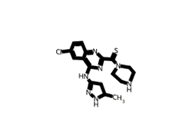 CC1CC(Nc2nc(C(=S)N3CCNCC3)nc3ccc(Cl)cc23)=NN1